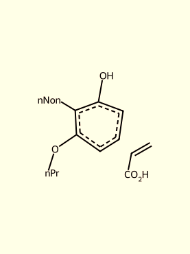 C=CC(=O)O.CCCCCCCCCc1c(O)cccc1OCCC